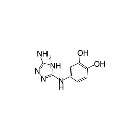 Nc1nnc(Nc2ccc(O)c(O)c2)[nH]1